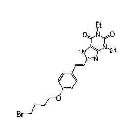 CCn1c(=O)c2c(nc(C=Cc3ccc(OCCCCBr)cc3)n2C)n(CC)c1=O